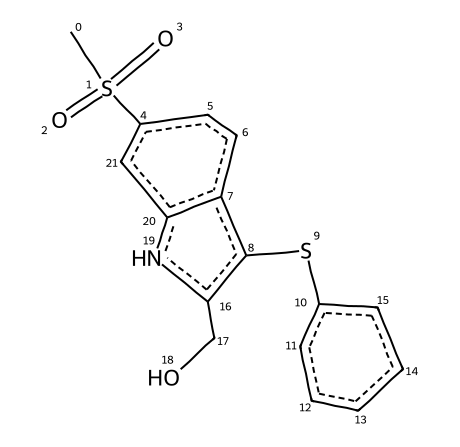 CS(=O)(=O)c1ccc2c(Sc3ccccc3)c(CO)[nH]c2c1